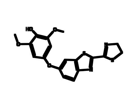 COc1cc(Oc2ccc3nc(C4=NCCS4)sc3c2)cc(OC)c1O